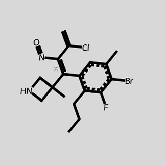 C=C(Cl)/C(N=O)=C(\c1cc(C)c(Br)c(F)c1CCC)C1(C)CNC1